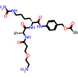 CC(C)[C@H](NC(=O)CCOCCN)C(=O)N[C@@H](CCCCNC(N)=O)C(=O)Nc1ccc(COC(=O)C(C)(C)C)cc1